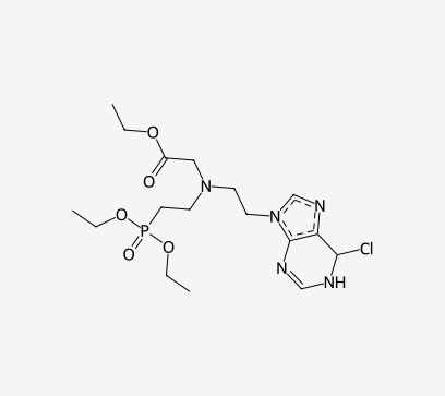 CCOC(=O)CN(CCn1cnc2c1N=CNC2Cl)CCP(=O)(OCC)OCC